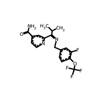 CC(C)C(=NCc1ccc(OC(F)(F)F)c(F)c1)c1cc(C(N)=O)ccn1